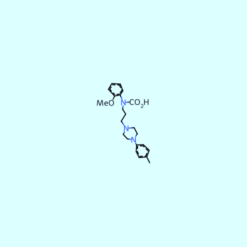 COc1ccccc1N(CCCN1CCN(c2ccc(C)cc2)CC1)C(=O)O